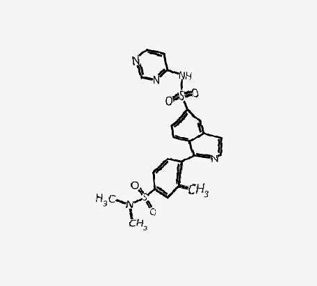 Cc1cc(S(=O)(=O)N(C)C)ccc1-c1nccc2cc(S(=O)(=O)Nc3ccncn3)ccc12